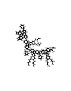 CCCCCCCCC1(CCCCCCCC)c2cc(-c3ccc4c(c3)C(c3ccc5c(c3)CC5)(c3ccc5c(c3)CC5)c3cc(-c5ccccc5)ccc3-4)ccc2-c2ccc(N(c3ccccc3)c3ccc4c(c3)C(CCCCCCCC)(CCCCCCCC)c3cc(N(c5ccccc5)c5ccc6c(c5)C(CCCCCCCC)(CCCCCCCC)c5cc(C(C)CC)ccc5-6)ccc3-4)cc21